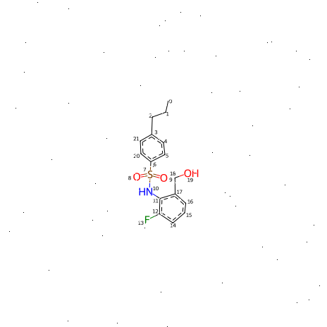 CCCc1ccc(S(=O)(=O)Nc2c(F)cccc2CO)cc1